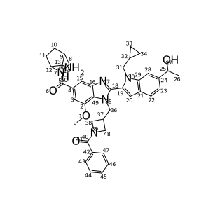 COc1cc(C(=O)N2CC3CCC2[C@@H]3N)cc2nc(-c3cc4ccc(C(C)O)cc4n3CC3CC3)n(CC3CN(C(=O)c4ccccc4)C3)c12